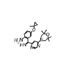 CC1(C)CN(c2cc(C(=N)c3cc(OC4(C)CC4)ccc3N)ncn2)CC(C)(C)O1